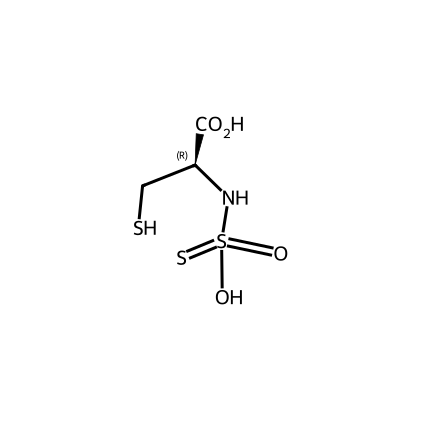 O=C(O)[C@H](CS)NS(=O)(O)=S